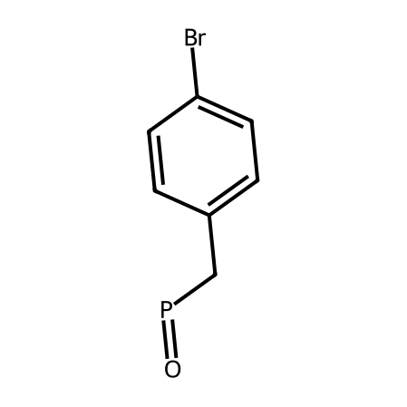 O=PCc1ccc(Br)cc1